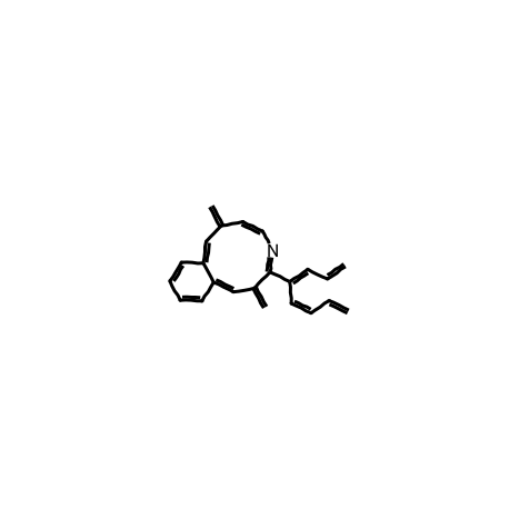 C=C/C=C\C(=C/C=C)c1nccc(=C)cc2ccccc2cc1=C